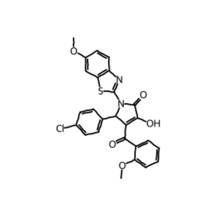 COc1ccc2nc(N3C(=O)C(O)=C(C(=O)c4ccccc4OC)C3c3ccc(Cl)cc3)sc2c1